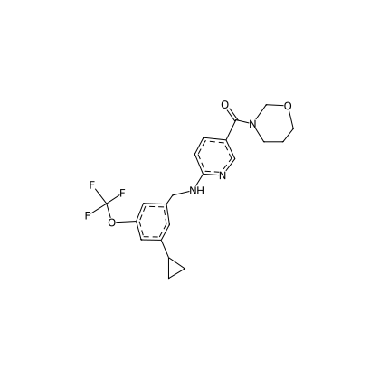 O=C(c1ccc(NCc2cc(OC(F)(F)F)cc(C3CC3)c2)nc1)N1CCCOC1